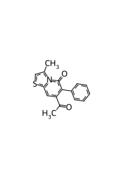 CC(=O)c1cc2scc(C)n2c(=O)c1-c1ccccc1